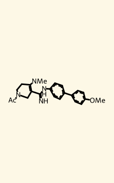 CNC1=C(C(=N)Nc2ccc(-c3ccc(OC)cc3)cc2)CN(C(C)=O)CC1